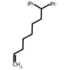 C=CCCCCCC([C](C)C)C(C)C